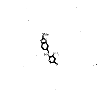 CSc1nc2ccc(CNc3ccc(F)cc3N)cc2s1